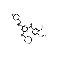 COc1ccc(Nc2nc(NCC3CCNCC3)nc(NC3CCCCCC3)n2)cc1CI